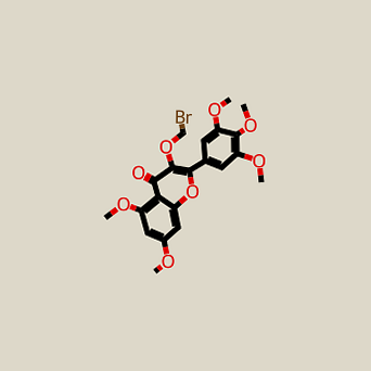 COc1cc(OC)c2c(=O)c(OCBr)c(-c3cc(OC)c(OC)c(OC)c3)oc2c1